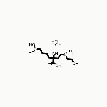 CN(CCO)CCC(N)(CCCCB(O)O)C(=O)O.Cl.Cl